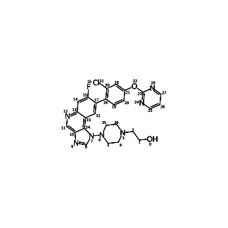 OCCN1CCN(n2cnc3cnc4cc(F)c(-c5ccc(Oc6ncccn6)cc5Cl)cc4c32)CC1